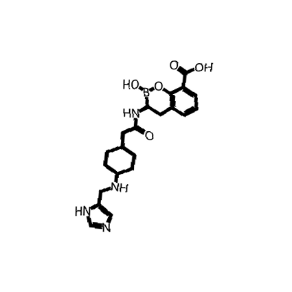 O=C(CC1CCC(NCc2cnc[nH]2)CC1)NC1Cc2cccc(C(=O)O)c2OB1O